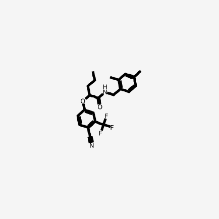 CCCC(Oc1ccc(C#N)c(C(F)(F)F)c1)C(=O)NCc1ccc(C)cc1C